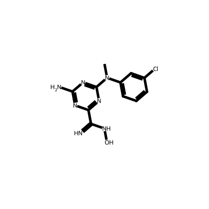 CN(c1cccc(Cl)c1)c1nc(N)nc(C(=N)NO)n1